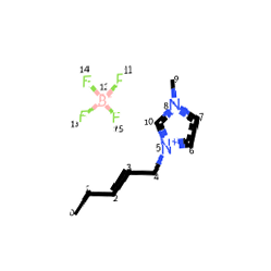 CCC=CC[n+]1ccn(C)c1.F[B-](F)(F)F